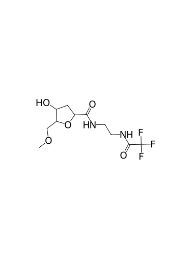 COCC1OC(C(=O)NCCNC(=O)C(F)(F)F)CC1O